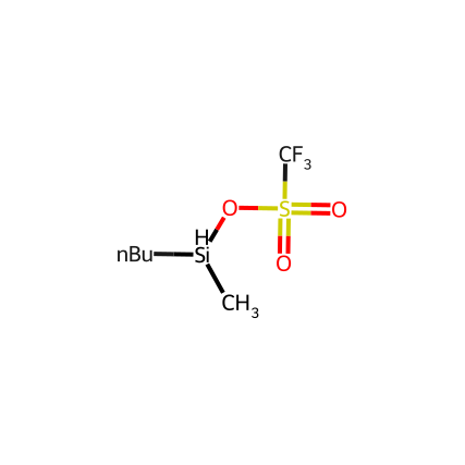 CCCC[SiH](C)OS(=O)(=O)C(F)(F)F